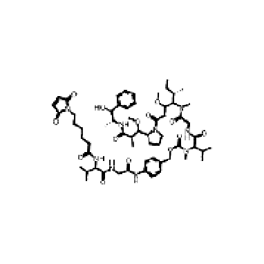 CC[C@H](C)C([C@@H](CC(=O)N1CCC[C@H]1[C@H](OC)[C@@H](C)C(=O)N[C@H](C)[C@@H](O)c1ccccc1)OC)N(C)C(=O)CNC(=O)C(C(C)C)N(C)C(=O)OCc1ccc(NC(=O)CNC(=O)C(NC(=O)CCCCCN2C(=O)C=CC2=O)C(C)C)cc1